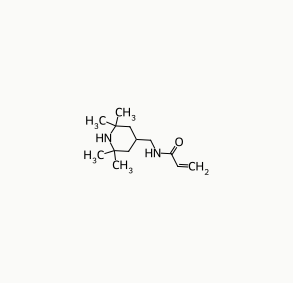 C=CC(=O)NCC1CC(C)(C)NC(C)(C)C1